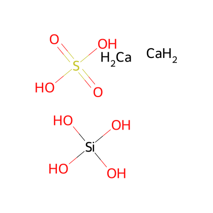 O=S(=O)(O)O.O[Si](O)(O)O.[CaH2].[CaH2]